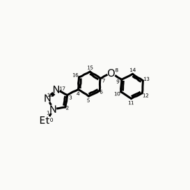 CCn1cc(-c2ccc(Oc3ccccc3)cc2)nn1